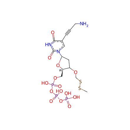 CSSCOC1CC(n2cc(C#CCN)c(=O)[nH]c2=O)O[C@@H]1COP(=O)(O)OP(=O)(O)OP(=O)(O)O